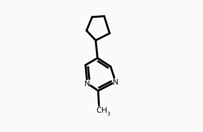 Cc1ncc(C2CCCC2)cn1